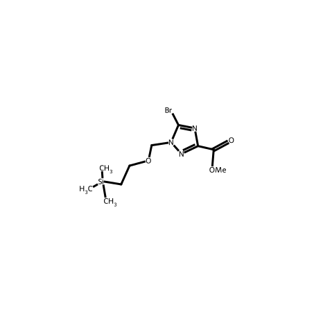 COC(=O)c1nc(Br)n(COCC[Si](C)(C)C)n1